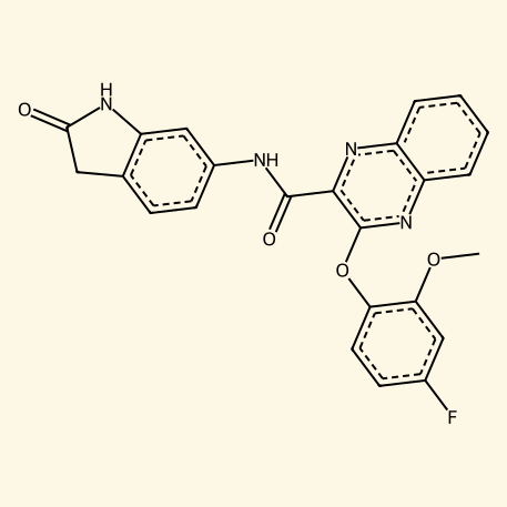 COc1cc(F)ccc1Oc1nc2ccccc2nc1C(=O)Nc1ccc2c(c1)NC(=O)C2